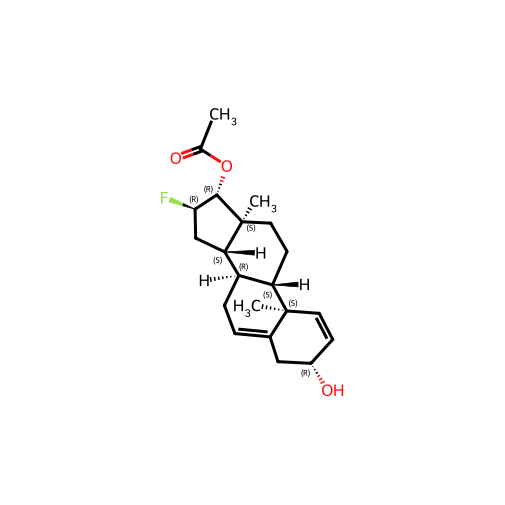 CC(=O)O[C@H]1[C@H](F)C[C@H]2[C@@H]3CC=C4C[C@@H](O)C=C[C@]4(C)[C@H]3CC[C@@]21C